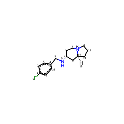 Fc1ccc(CN[C@@H]2CCN3CCC[C@H]3C2)cc1